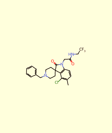 Cc1ccc2c(c1Cl)C1(CCN(Cc3ccccc3)CC1)C(=O)N2CC(=O)NCC(F)(F)F